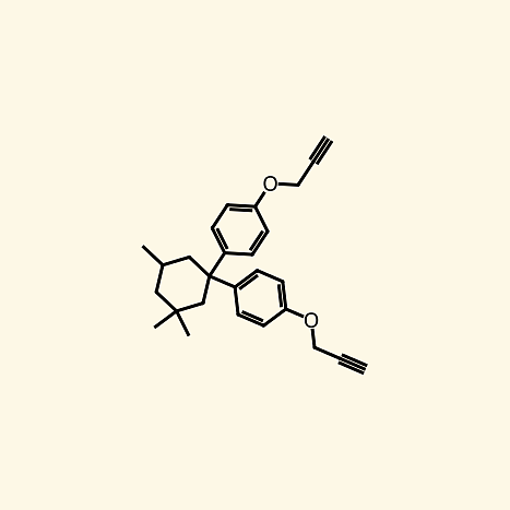 C#CCOc1ccc(C2(c3ccc(OCC#C)cc3)CC(C)CC(C)(C)C2)cc1